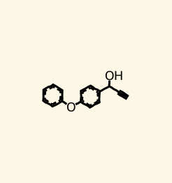 C#CC(O)c1ccc(Oc2ccccc2)cc1